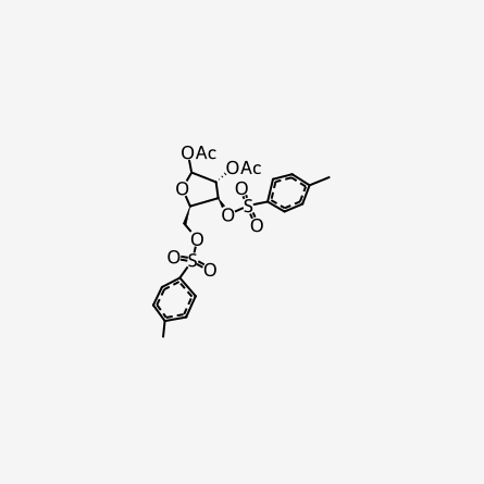 CC(=O)OC1O[C@H](COS(=O)(=O)c2ccc(C)cc2)[C@H](OS(=O)(=O)c2ccc(C)cc2)[C@H]1OC(C)=O